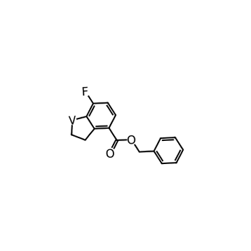 O=C(OCc1ccccc1)c1ccc(F)[c]2c1C[CH2][V]2